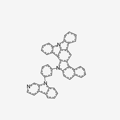 c1cc(-n2c3ccccc3c3ccncc32)cc(-n2c3ccc4ccccc4c3c3cc4c5ccccc5n5c6ccccc6c(c32)c45)c1